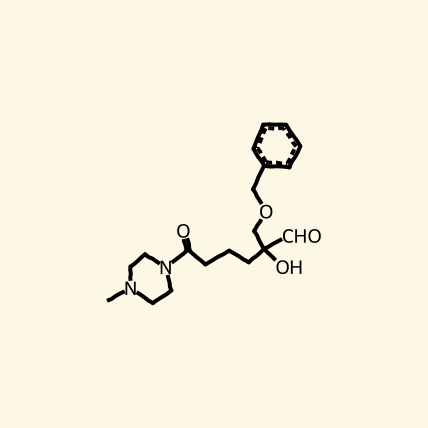 CN1CCN(C(=O)CCCC(O)(C=O)COCc2ccccc2)CC1